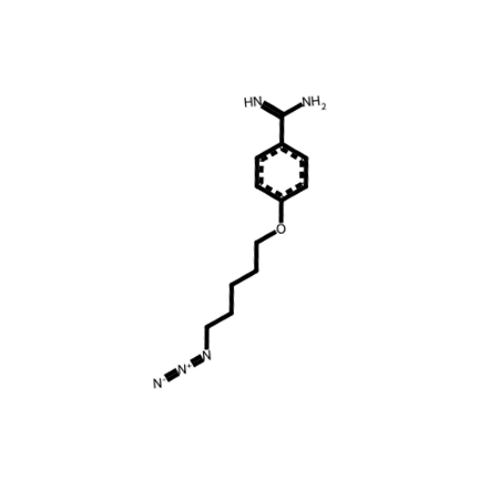 [N-]=[N+]=NCCCCCOc1ccc(C(=N)N)cc1